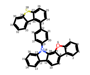 c1ccc2c(c1)oc1c2ccc2c3ccccc3n(-c3ccc(-c4cccc5sc6ccccc6c45)cc3)c21